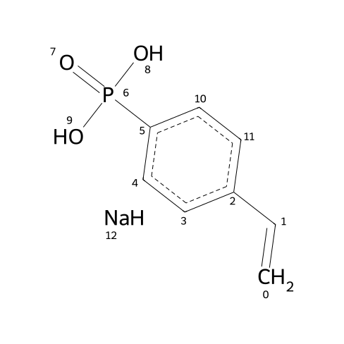 C=Cc1ccc(P(=O)(O)O)cc1.[NaH]